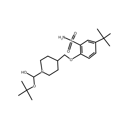 CC(C)(C)OC(O)N1CCC(COc2ccc(C(C)(C)C)cc2S(N)(=O)=O)CC1